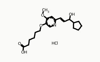 COc1cc(/C=C/C(O)C2CCCC2)ncc1OCCCCCC(=O)O.Cl